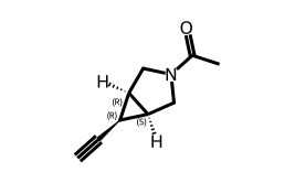 C#C[C@H]1[C@H]2CN(C(C)=O)C[C@@H]12